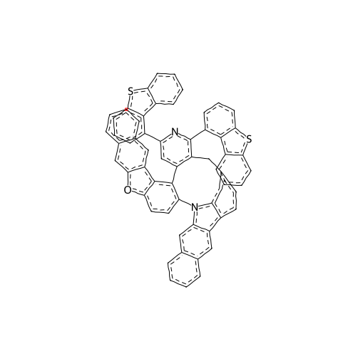 c1ccc2cc3c(cc2c1)oc1ccc2c(c13)-c1cc(-c3cccc4sc5ccccc5c34)nc(-c3cccc4sc5ccccc5c34)c1Cc1ccc3c4cc5ccccc5cc4n-2c3c1